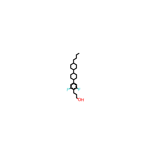 CCCCC1CCC(C2CCC(c3cc(F)c(CCCO)c(F)c3)CC2)CC1